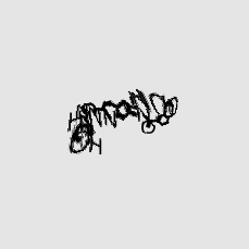 C[C@@]1(C#N)COCc2ccc(C(=O)NCc3cc4nc(-c5ccnc(N6C[C@@H]7C[C@H]6CO7)n5)ccc4cn3)cc21